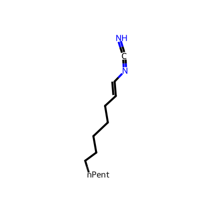 CCCCCCCCCCC=CN=C=N